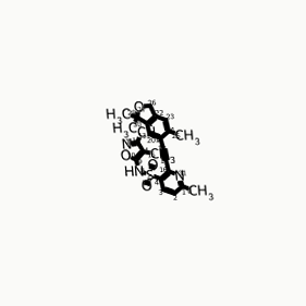 Cc1ccc(S(=O)(=O)Nc2onc(C)c2C)c(C#Cc2cc3c(cc2C)COC3(C)C)n1